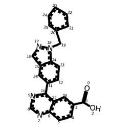 O=C(O)c1ccc2ncnc(-c3ccc4c(cnn4Cc4ccccc4)c3)c2c1